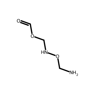 NCONCOC=O